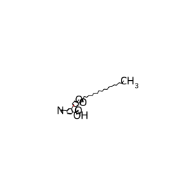 CCCCCCCCCCCCCCCCCC(=O)Oc1ccc(-c2cc(C#N)ccc2C(=O)O)cc1